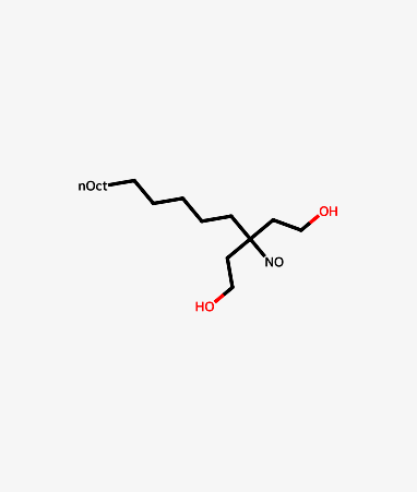 CCCCCCCCCCCCCC(CCO)(CCO)N=O